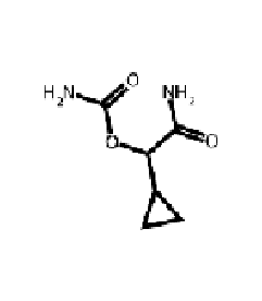 NC(=O)OC(C(N)=O)C1CC1